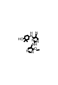 CCOc1ncncc1CNc1ncc(C#N)c(N[C@@H]2CCC(O)C(C)(C)C2)n1